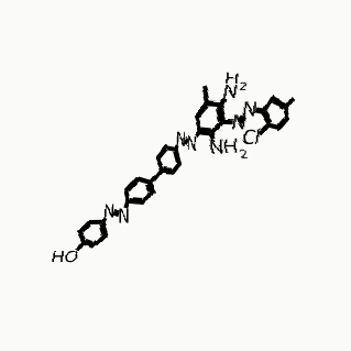 Cc1ccc(Cl)c(/N=N/c2c(N)c(C)cc(/N=N/c3ccc(-c4ccc(/N=N/c5ccc(O)cc5)cc4)cc3)c2N)c1